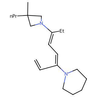 C=C/C(=C\C=C(/CC)N1CC(C)(CCC)C1)N1CCCCC1